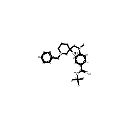 CN(CC1(O)CCCN(Cc2ccccc2)C1)c1ccc(C(=O)OC(C)(C)C)cc1